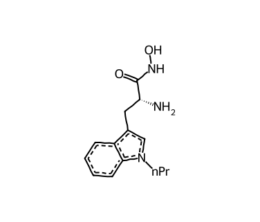 CCCn1cc(C[C@@H](N)C(=O)NO)c2ccccc21